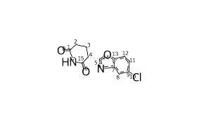 O=C1CC[C@H](c2nc3cc(Cl)ccc3o2)C(=O)N1